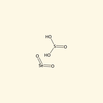 O=S(O)O.O=[Se]=O